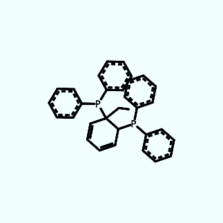 CCC1(P(c2ccccc2)c2ccccc2)C=CC=CC1P(c1ccccc1)c1ccccc1